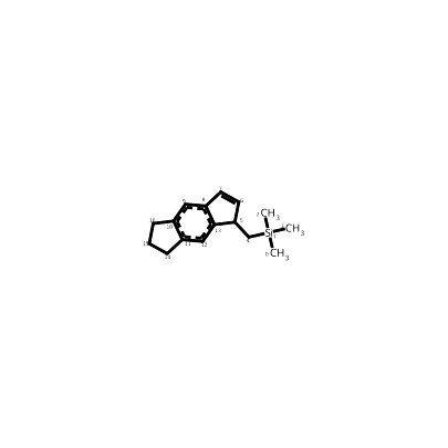 C[Si](C)(C)CC1C=Cc2cc3c(cc21)CCC3